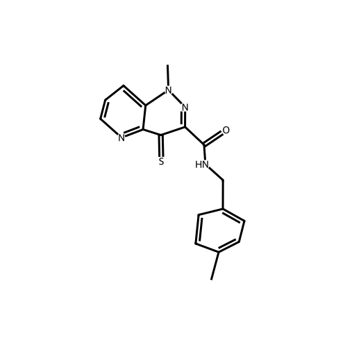 Cc1ccc(CNC(=O)c2nn(C)c3cccnc3c2=S)cc1